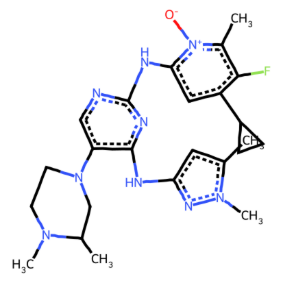 Cc1cc(Nc2nc(Nc3cc(C4CC4)c(F)c(C)[n+]3[O-])ncc2N2CCN(C)C(C)C2)nn1C